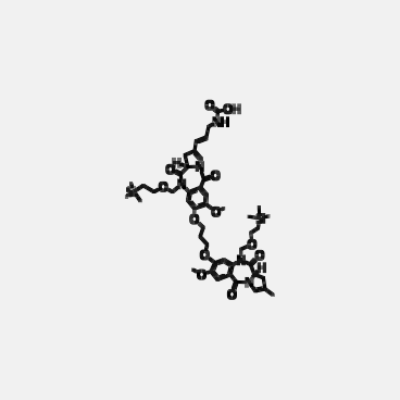 COc1cc2c(cc1OCCCOc1cc3c(cc1OC)C(=O)N1C=C(C=CCNC(=O)O)C[C@H]1C(=O)N3COCC[Si](C)(C)C)N(COCC[Si](C)(C)C)C(=O)[C@@H]1CC(C)=CN1C2=O